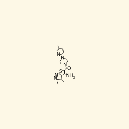 Cc1ccc(N2CCN(C(=O)c3sc4nnc(C)c(C)c4c3N)CC2)nc1